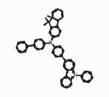 CC1(C)c2cc(N(c3ccc(-c4ccccc4)cc3)c3ccc(-c4ccc5c(c4)c4ccccc4n5-c4ccccc4)cc3)ccc2C2C=CC=CC21C